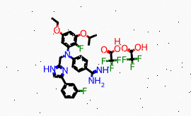 CCOc1cc(OC(C)C)c(F)c(N(Cc2nc(-c3cccc(F)c3)c[nH]2)c2ccc(C(=N)N)cc2)c1.O=C(O)C(F)(F)F.O=C(O)C(F)(F)F